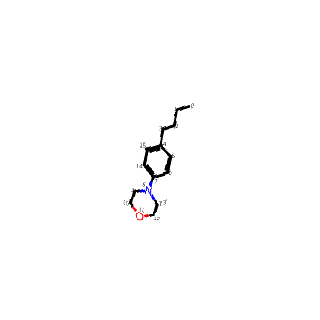 CC[CH]Cc1ccc(N2CCOCC2)cc1